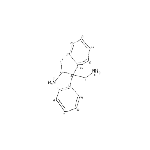 CC(N)C(CN)(c1ccccc1)c1ccccc1